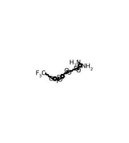 Nc1cc(N)cc(C(=O)OCCCCOC(=O)/C=C/c2ccc(OC(F)(F)c3ccc(OCCCCCC(F)(F)F)cc3)cc2)c1